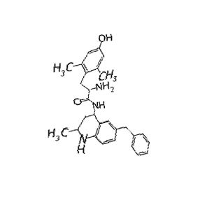 Cc1cc(O)cc(C)c1CC(N)C(=O)NC1CC(C)Nc2ccc(Cc3ccccc3)cc21